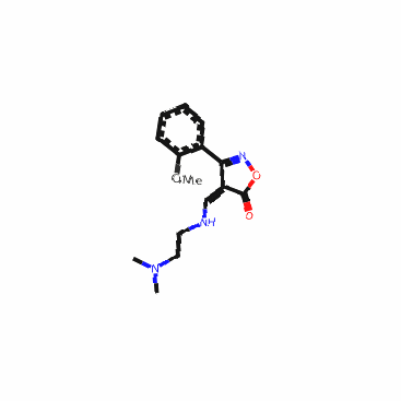 COc1ccccc1C1=NOC(=O)C1=CNCCN(C)C